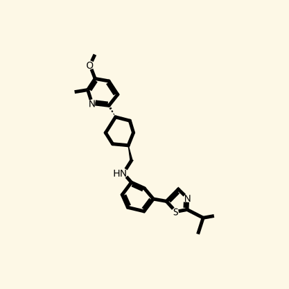 COc1ccc([C@H]2CC[C@H](CNc3cccc(-c4cnc(C(C)C)s4)c3)CC2)nc1C